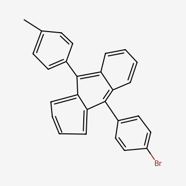 Cc1ccc(-c2c3ccccc3c(-c3ccc(Br)cc3)c3ccccc23)cc1